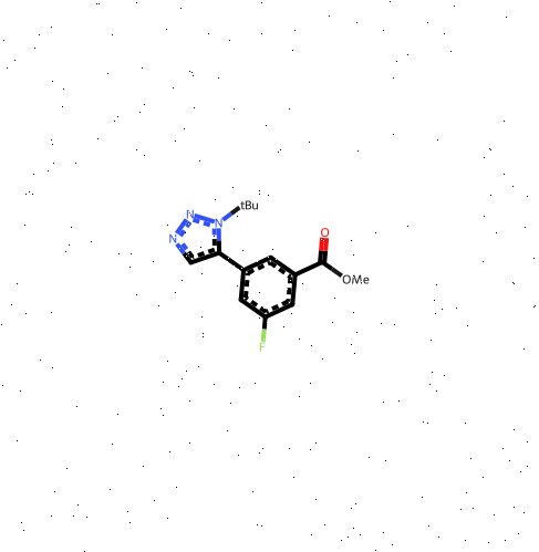 COC(=O)c1cc(F)cc(-c2cnnn2C(C)(C)C)c1